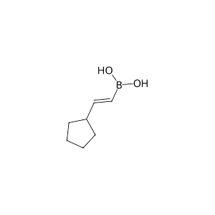 OB(O)C=CC1CCCC1